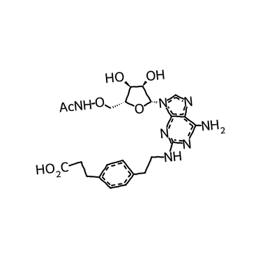 CC(=O)NOC[C@H]1O[C@@H](n2cnc3c(N)nc(NCCc4ccc(CCC(=O)O)cc4)nc32)[C@H](O)[C@@H]1O